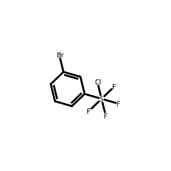 FS(F)(F)(F)(Cl)c1cccc(Br)c1